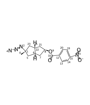 C[C@]1(N=[N+]=[N-])C[C@H]2C[C@H](OC(=O)c3ccc([N+](=O)[O-])cc3)C[C@H]2C1